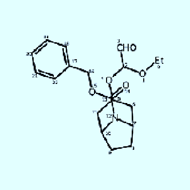 CCOC(C=O)OC1CC2CCC(C1)N2C(=O)OCc1ccccc1